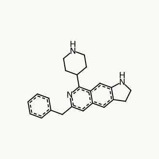 c1ccc(Cc2cc3cc4c(cc3c(C3CCNCC3)n2)NCC4)cc1